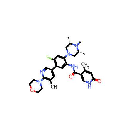 C[C@@H]1CN(c2cc(F)c(-c3cnc(N4CCOCC4)c(C#N)c3)cc2NC(=O)c2c[nH]c(=O)cc2C(F)(F)F)C[C@H](C)N1C